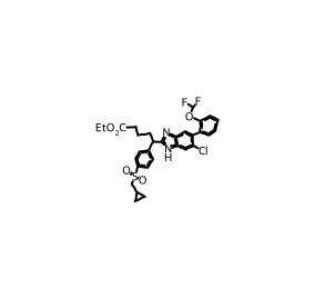 CCOC(=O)CCCC(c1ccc(S(=O)(=O)CC2CC2)cc1)c1nc2cc(-c3ccccc3OC(F)F)c(Cl)cc2[nH]1